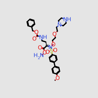 COc1ccc(-c2ccc(S(=O)(=O)N(OCCOCCN3CCNCC3)[C@H](CCNC(=O)OCc3ccccc3)C(=O)ON)cc2)cc1